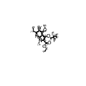 CCOC(=O)c1c(OCC(F)(F)F)c2c(OC)c(Br)c(CC)nc2n1C